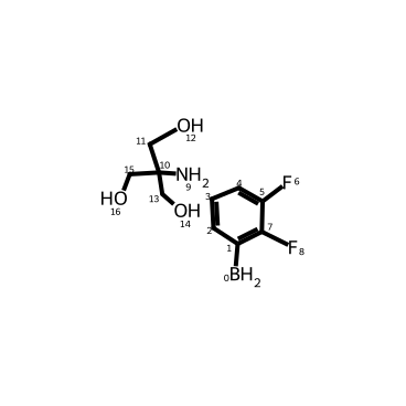 Bc1cccc(F)c1F.NC(CO)(CO)CO